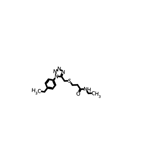 CCNC(=O)CCSCc1nnnn1-c1ccc(CC)cc1